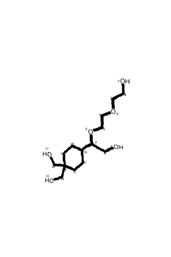 OCCOCCOC(CO)C1CCC(CO)(CO)CC1